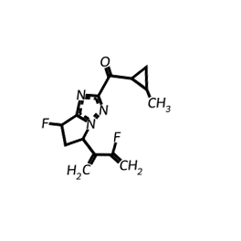 C=C(F)C(=C)C1CC(F)c2nc(C(=O)C3CC3C)nn21